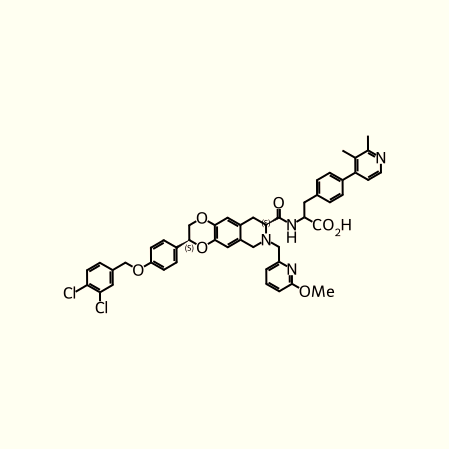 COc1cccc(CN2Cc3cc4c(cc3C[C@H]2C(=O)NC(Cc2ccc(-c3ccnc(C)c3C)cc2)C(=O)O)OC[C@H](c2ccc(OCc3ccc(Cl)c(Cl)c3)cc2)O4)n1